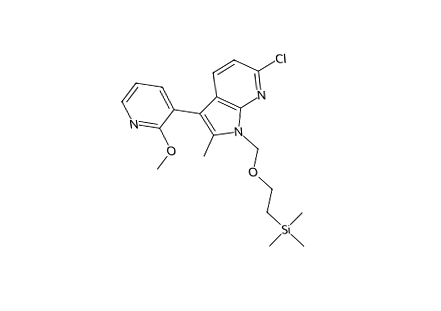 COc1ncccc1-c1c(C)n(COCC[Si](C)(C)C)c2nc(Cl)ccc12